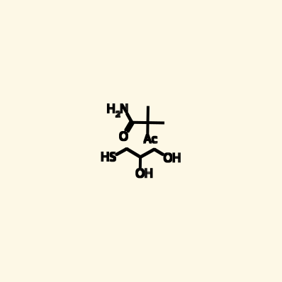 CC(=O)C(C)(C)C(N)=O.OCC(O)CS